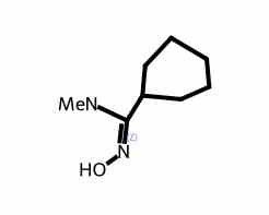 CN/C(=N\O)C1CCCCC1